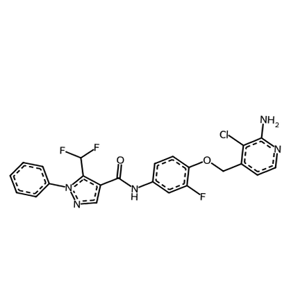 Nc1nccc(COc2ccc(NC(=O)c3cnn(-c4ccccc4)c3C(F)F)cc2F)c1Cl